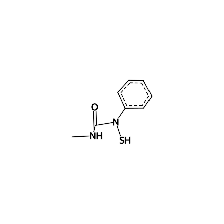 CNC(=O)N(S)c1ccccc1